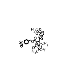 C[C@@H](O)[C@H]1C(=O)N2C(C(=O)OCc3ccc([N+](=O)[O-])cc3)=C(c3cn4c(S(C)(=O)=O)ncc4s3)[C@H](C)[C@H]12